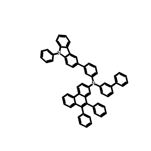 c1ccc(-c2cccc(N(c3cccc(-c4ccc5c(c4)c4ccccc4n5-c4ccccc4)c3)c3ccc4c(c3)c(-c3ccccc3)c(-c3ccccc3)c3ccccc34)c2)cc1